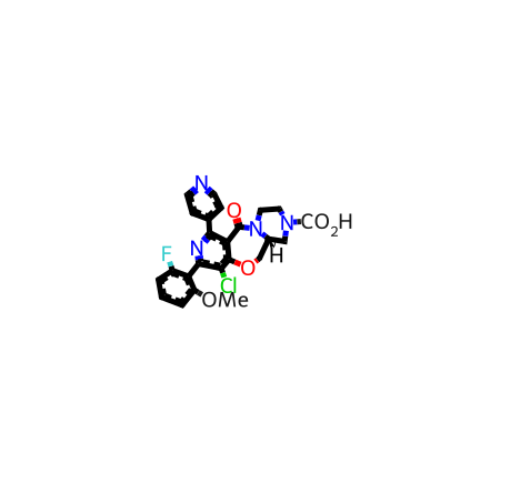 COc1cccc(F)c1-c1nc(-c2ccncc2)c2c(c1Cl)OC[C@H]1CN(C(=O)O)CCN1C2=O